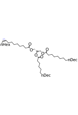 CCCCCC/C=C\CCCCCCCC(=O)OC[C@H](COC(=O)CCCCCCCCCCCCCCCCC)OC(=O)CCCCCCCCCCCCCCC